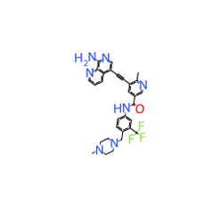 Cc1ncc(C(=O)Nc2ccc(CN3CCN(C)CC3)c(C(F)(F)F)c2)cc1C#Cc1cnc(N)c2ncccc12